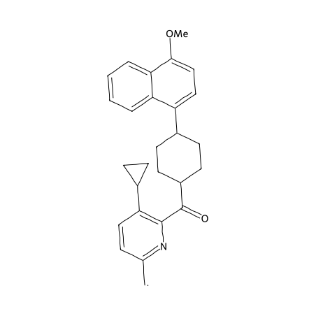 [CH2]c1ccc(C2CC2)c(C(=O)C2CCC(c3ccc(OC)c4ccccc34)CC2)n1